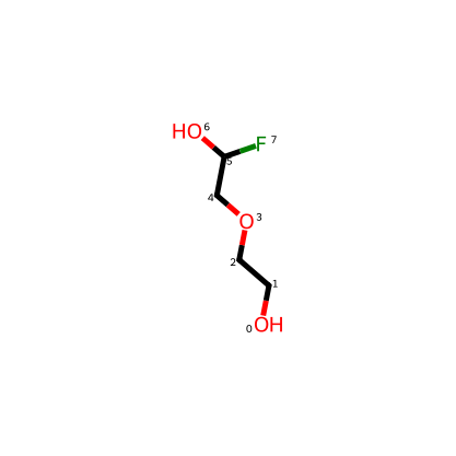 OCCOCC(O)F